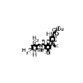 C=C1NC(C)=CC(C)=C1CNC(=O)c1cc(Br)cc(N(CC)[C@H]2CC[C@H](NC(=O)OC(C)(C)C)CC2)c1C